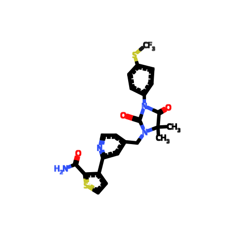 CC1(C)C(=O)N(c2ccc(SC(F)(F)F)cc2)C(=O)N1Cc1ccnc(-c2ccsc2C(N)=O)c1